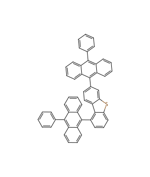 c1ccc(-c2c3ccccc3c(-c3ccc4c(c3)sc3cccc(-c5c6ccccc6c(-c6ccccc6)c6ccccc56)c34)c3ccccc23)cc1